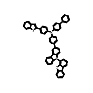 c1ccc(-c2ccc(N(c3ccc(-c4ccc5c(c4)c4ccccc4n5-c4cccc5c4oc4ccccc45)cc3)c3ccc(-c4cc5ccccc5s4)cc3)cc2)cc1